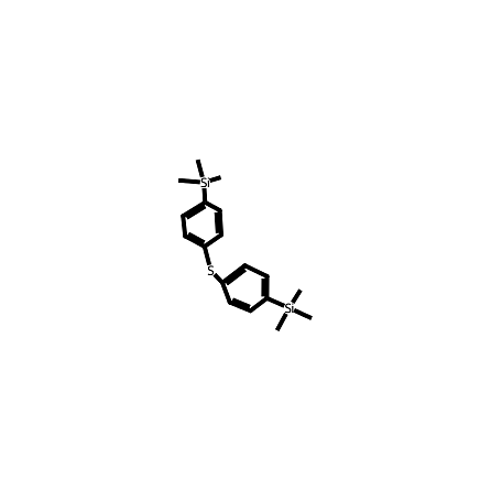 C[Si](C)(C)c1ccc(Sc2ccc([Si](C)(C)C)cc2)cc1